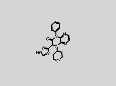 O=C1C(c2nc[nH]n2)N(C2CCOCC2)c2nccnc2N1c1ccccc1